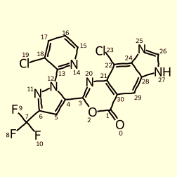 O=c1oc(-c2cc(C(F)(F)F)nn2-c2ncccc2Cl)nc2c(Cl)c3nc[nH]c3cc12